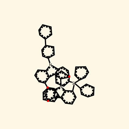 c1ccc(-c2ccc(-n3c4cccc(-c5ccccc5)c4c4c(-n5c6ccccc6c6cccc([Si](c7ccccc7)(c7ccccc7)c7ccccc7)c65)cccc43)cc2)cc1